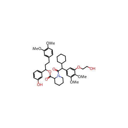 COc1ccc(CCC(OC(=O)C2CCCCN2C(=O)C(c2cc(OC)c(OC)c(OCCO)c2)C2CCCCC2)c2cccc(O)c2)cc1OC